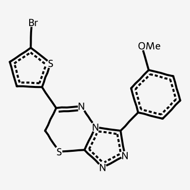 COc1cccc(-c2nnc3n2N=C(c2ccc(Br)s2)CS3)c1